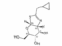 OC[C@H]1O[C@@H]2SC(CC3CC3)=N[C@@H]2[C@@H](O)[C@@H]1O